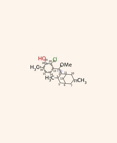 CO/C(=C1/C(C)CC2CC(C)CC1C2)c1ccc(C)c(O)c1Cl